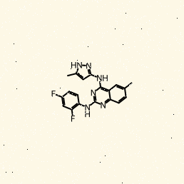 Cc1ccc2nc(Nc3ccc(F)cc3F)nc(Nc3cc(C)[nH]n3)c2c1